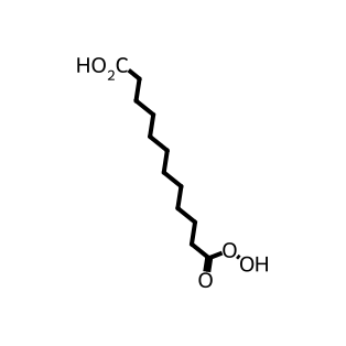 O=C(O)CCCCCCCCCCC(=O)OO